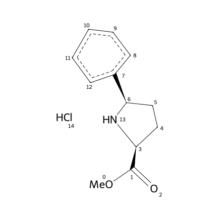 COC(=O)[C@@H]1CC[C@H](c2ccccc2)N1.Cl